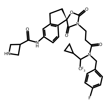 O=C(Nc1ccc2c(c1)CC[C@]21OC(=O)N(CCC(=O)N(Cc2ccc(F)cc2)C(C2CC2)C(F)(F)F)C1=O)C1CNC1